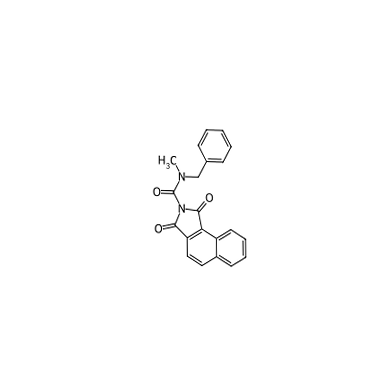 CN(Cc1ccccc1)C(=O)N1C(=O)c2ccc3ccccc3c2C1=O